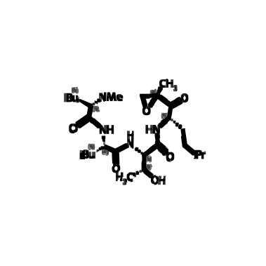 CC[C@H](C)[C@H](NC)C(=O)N[C@H](C(=O)N[C@H](C(=O)N[C@@H](CCC(C)C)C(=O)[C@@]1(C)CO1)[C@@H](C)O)[C@@H](C)CC